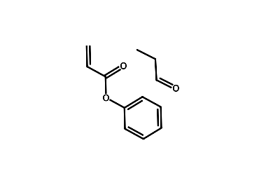 C=CC(=O)Oc1ccccc1.CCC=O